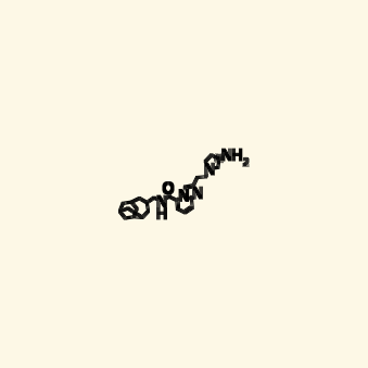 N[C@@H]1CCN(CCc2cn3c(C(=O)NCC4CC5CC6CC(C4)C(C5)C6)cccc3n2)C1